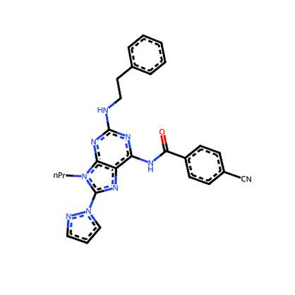 CCCn1c(-n2cccn2)nc2c(NC(=O)c3ccc(C#N)cc3)nc(NCCc3ccccc3)nc21